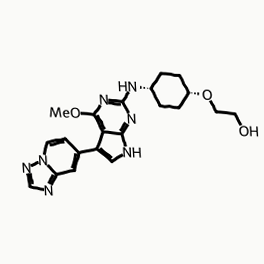 COc1nc(N[C@H]2CC[C@@H](OCCO)CC2)nc2[nH]cc(-c3ccn4ncnc4c3)c12